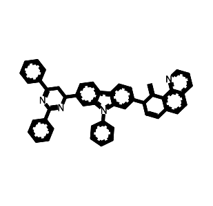 C=C1c2c(ccc3cccnc23)C=CC1c1ccc2c3ccc(C4CC(c5ccccc5)=NC(c5ccccc5)=N4)cc3n(-c3ccccc3)c2c1